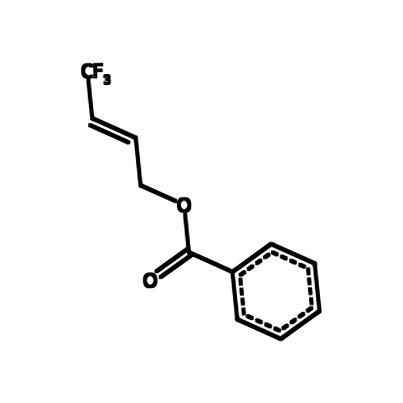 O=C(OC/C=C/C(F)(F)F)c1ccccc1